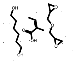 C(OCC1CO1)C1CO1.CC=C(C)C(=O)O.OCCCCCCO